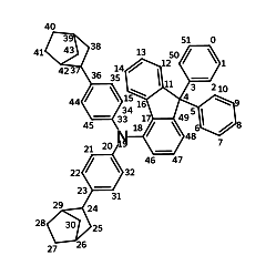 c1ccc(C2(c3ccccc3)c3ccccc3-c3c(N(c4ccc(C5CC6CCC5C6)cc4)c4ccc(C5CC6CCC5C6)cc4)cccc32)cc1